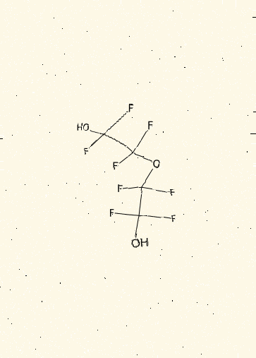 OC(F)(F)C(F)(F)OC(F)(F)C(O)(F)F